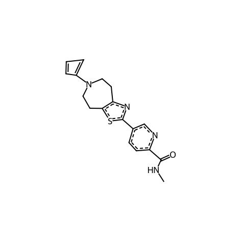 CNC(=O)c1ccc(-c2nc3c(s2)CCN(C2=CC=C2)CC3)cn1